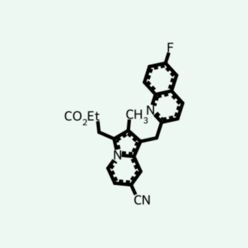 CCOC(=O)Cc1c(C)c(Cc2ccc3cc(F)ccc3n2)c2cc(C#N)ccn12